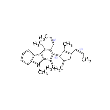 C=C1CC(/C=C\C)=C(C)C/1=c1\c(/C=C\C)c(C)c2c3ccccc3n(C)c2c1=C